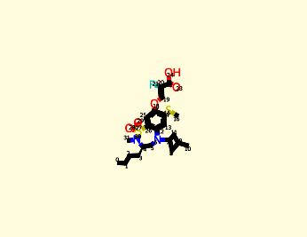 CCCC[C@@H]1CN(C2CC(C)C2)c2cc(SC)c(O/C=C(\F)C(=O)O)cc2S(=O)(=O)N1C